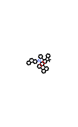 CC1(C)c2ccccc2-c2c(-c3ccccc3N(c3ccc(-c4cccc5cccc(-c6ccccc6)c45)cc3)c3ccc4c(ccc5ccccc54)c3)cccc21